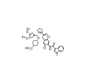 CCO[C@H]1CN(C(O[C@H]2CC[C@H](C(=O)O)CC2)[C@@H]2CCCN2C(=O)Cc2cc(Cl)c(NC(=O)c3cn(C)c4ccccc34)cc2Cl)C[C@H]1OCC